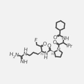 CC(C)C(NC(=O)C1CCCCC1)C(=O)N1CCC[C@H]1C(=O)N[C@@H](CCCNC(=N)N)C(=O)CF